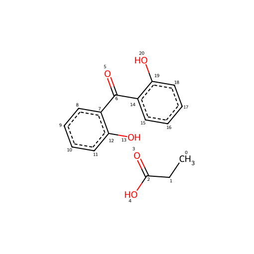 CCC(=O)O.O=C(c1ccccc1O)c1ccccc1O